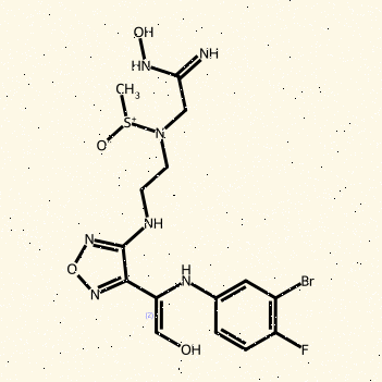 C[S+]([O-])N(CCNc1nonc1/C(=C/O)Nc1ccc(F)c(Br)c1)CC(=N)NO